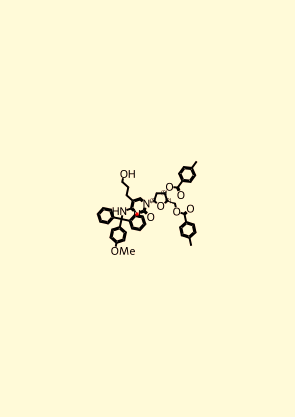 COc1ccc(C(Nc2nc(=O)n([C@@H]3C[C@H](OC(=O)c4ccc(C)cc4)[C@@H](COC(=O)c4ccc(C)cc4)O3)cc2CCCO)(c2ccccc2)c2ccccc2)cc1